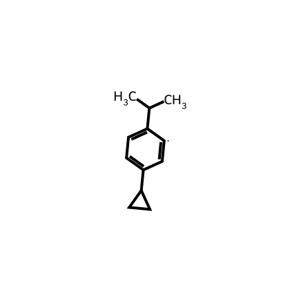 CC(C)c1[c]cc(C2CC2)cc1